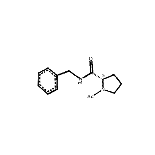 CC(=O)N1CCC[C@H]1C(=O)NCc1c[c]ccc1